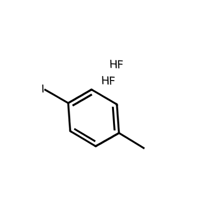 Cc1ccc(I)cc1.F.F